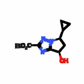 CCOC(=O)c1nc2n(n1)C(C1CC1)C[C@@H]2O